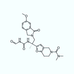 COc1ccc2c(c1)C(=O)N(C[C@](C)(NC(=O)NC=O)c1cc3c(o1)CCN(C(=O)N(C)C)C3)C2